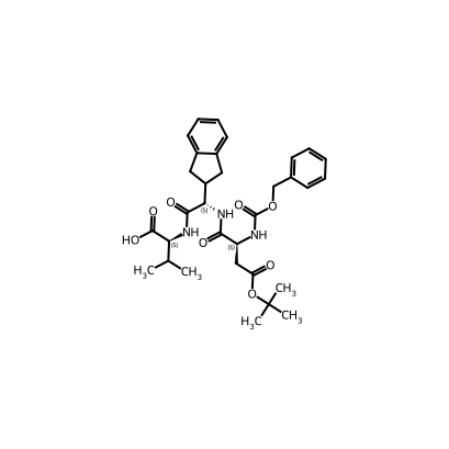 CC(C)[C@H](NC(=O)[C@@H](NC(=O)[C@H](CC(=O)OC(C)(C)C)NC(=O)OCc1ccccc1)C1Cc2ccccc2C1)C(=O)O